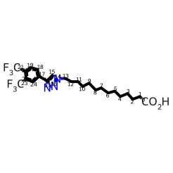 O=C(O)CCCCCCCCCCCCCn1cc(-c2ccc(C(F)(F)F)c(C(F)(F)F)c2)nn1